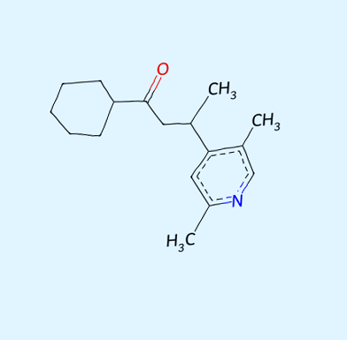 Cc1cc(C(C)CC(=O)C2CCCCC2)c(C)cn1